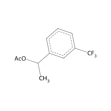 CC(=O)OC(C)c1cccc(C(F)(F)F)c1